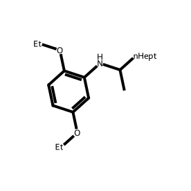 CCCCCCCC(C)Nc1cc(OCC)ccc1OCC